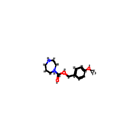 O=C(OCc1ccc(OC(F)(F)F)cc1)N1CCC[N]CC1